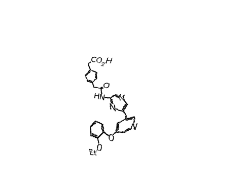 CCOc1ccccc1Oc1cncc(-c2cncc(NC(=O)Cc3ccc(CC(=O)O)cc3)n2)c1